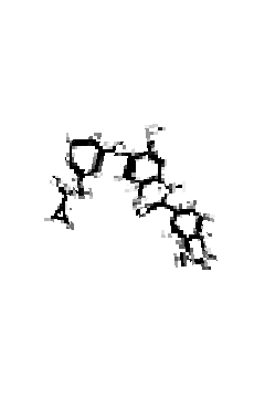 O=C(Nc1cc(F)c(Oc2ccnc(NC(=O)C3CC3)c2)cc1F)c1ccc2nc[nH]c2c1